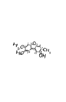 Cc1cc2oc3cc(C)c(O)cc3c2cc1O